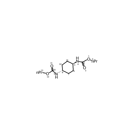 CCCOC(=O)N[C@H]1CC[C@H](NC(=O)OCCC)CC1